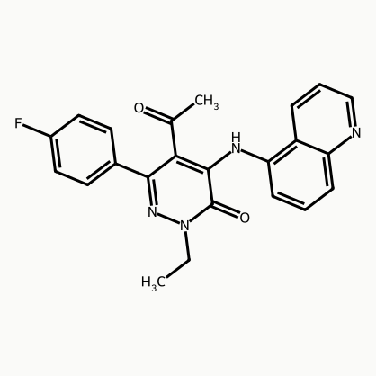 CCn1nc(-c2ccc(F)cc2)c(C(C)=O)c(Nc2cccc3ncccc23)c1=O